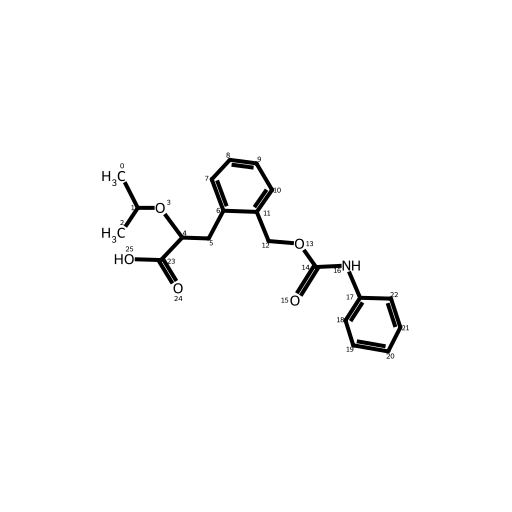 CC(C)OC(Cc1ccccc1COC(=O)Nc1ccccc1)C(=O)O